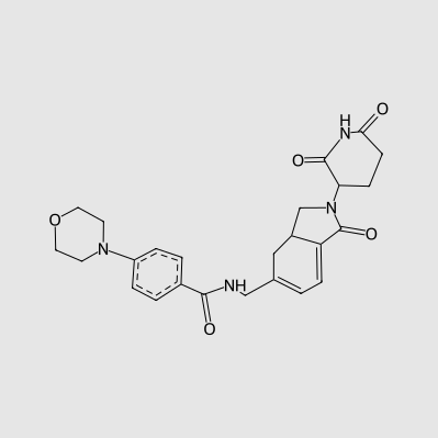 O=C1CCC(N2CC3CC(CNC(=O)c4ccc(N5CCOCC5)cc4)=CC=C3C2=O)C(=O)N1